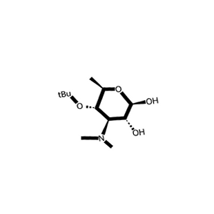 C[C@H]1O[C@@H](O)[C@H](O)[C@@H](N(C)C)[C@@H]1OC(C)(C)C